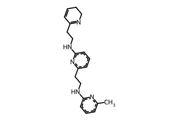 Cc1cccc(NCCc2cccc(NCCC3=NCCC=C3)n2)n1